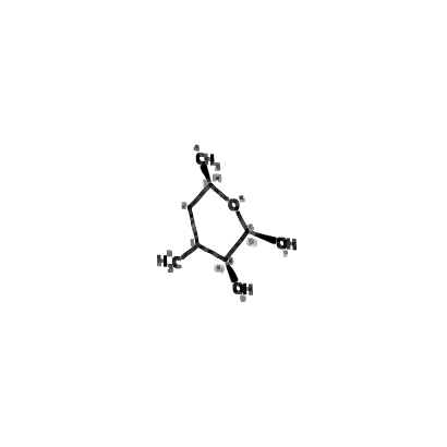 CC1C[C@@H](C)O[C@@H](O)[C@H]1O